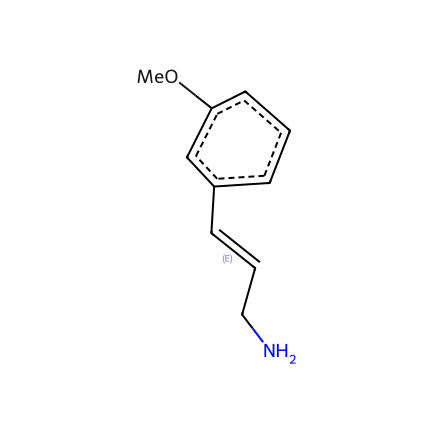 COc1cccc(/C=C/CN)c1